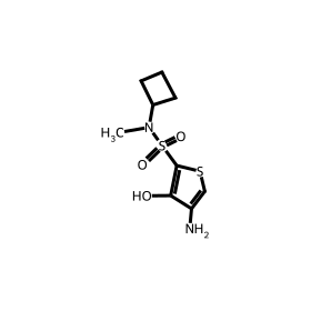 CN(C1CCC1)S(=O)(=O)c1scc(N)c1O